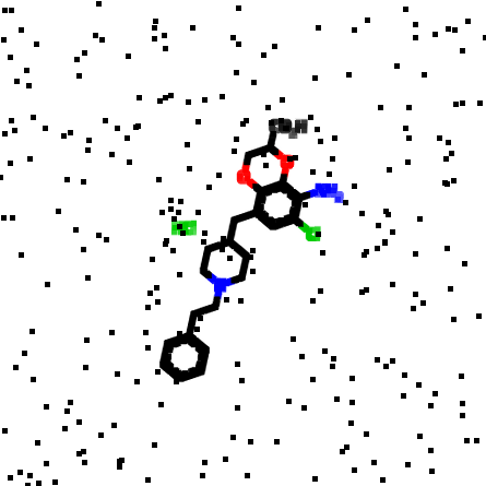 Cl.Nc1c(Cl)cc(CC2CCN(CCc3ccccc3)CC2)c2c1OC(C(=O)O)CO2